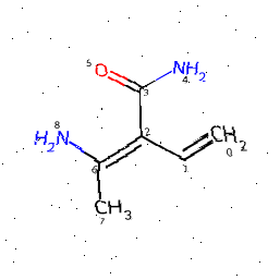 C=C/C(C(N)=O)=C(\C)N